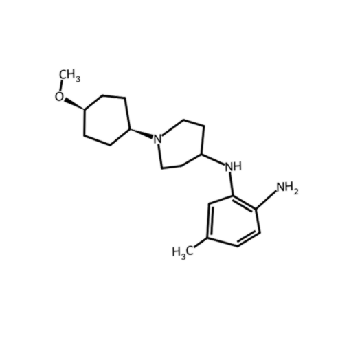 CO[C@H]1CC[C@@H](N2CCC(Nc3cc(C)ccc3N)CC2)CC1